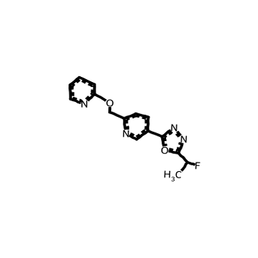 CC(F)c1nnc(-c2ccc(COc3ccccn3)nc2)o1